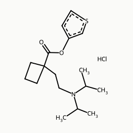 CC(C)N(CCC1(C(=O)Oc2ccsc2)CCC1)C(C)C.Cl